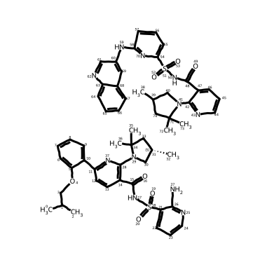 CC(C)COc1ccccc1-c1ccc(C(=O)NS(=O)(=O)c2cccnc2N)c(N2C[C@@H](C)CC2(C)C)n1.CC1CN(c2ncccc2C(=O)NS(=O)(=O)c2cccc(Nc3cnc4ccccc4c3)n2)C(C)(C)C1